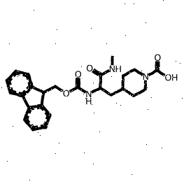 CNC(=O)C(CC1CCN(C(=O)O)CC1)NC(=O)OCC1c2ccccc2-c2ccccc21